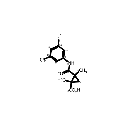 CC1(C(=O)O)CC1(C)C(=O)Nc1cc(Cl)cc(Cl)c1